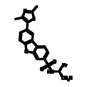 Cc1nc(C)c(-c2ccc3oc4cc(S(=O)(=O)N[C@H](C(=O)O)C(C)C)ccc4c3c2)s1